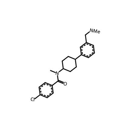 CNCc1cccc(C2CCC(N(C)C(=O)c3ccc(Cl)cc3)CC2)c1